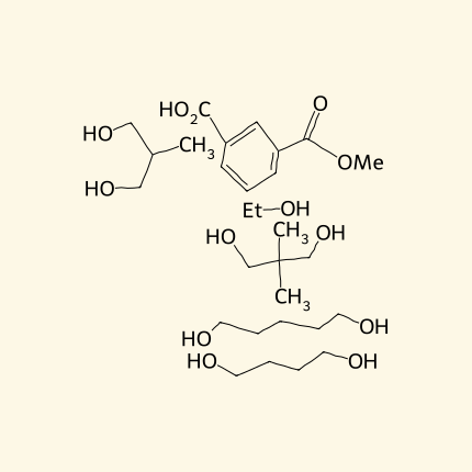 CC(C)(CO)CO.CC(CO)CO.CCO.COC(=O)c1cccc(C(=O)O)c1.OCCCCCO.OCCCCO